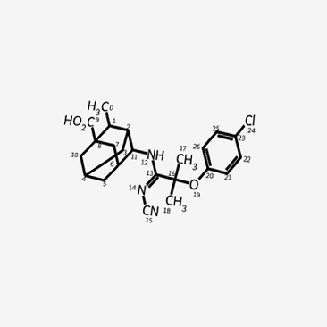 CC1C2CC3CC(CC1(C(=O)O)C3)C2NC(=NC#N)C(C)(C)Oc1ccc(Cl)cc1